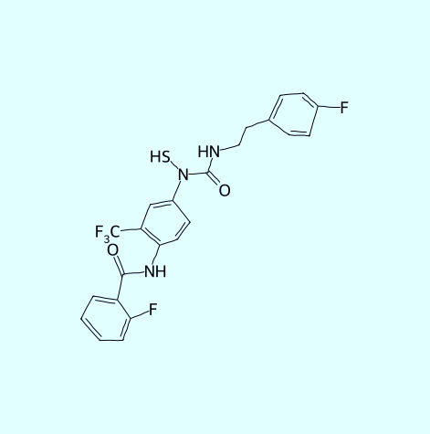 O=C(Nc1ccc(N(S)C(=O)NCCc2ccc(F)cc2)cc1C(F)(F)F)c1ccccc1F